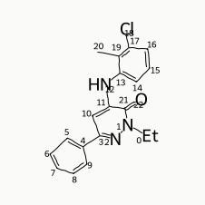 CCn1nc(-c2ccccc2)cc(Nc2cccc(Cl)c2C)c1=O